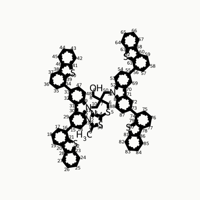 Cc1nnc(SCC(CO)(Cn2c3ccc(-c4cccc5c4sc4ccccc45)cc3c3cc(-c4cccc5c4sc4ccccc45)ccc32)Cn2c3ccc(-c4cccc5c4sc4ccccc45)cc3c3cc(-c4cccc5c4sc4ccccc45)ccc32)s1